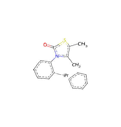 Cc1sc(=O)n(-c2ccccc2C(C)C)c1C.c1ccccc1